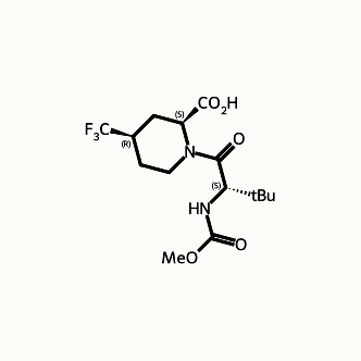 COC(=O)N[C@H](C(=O)N1CC[C@@H](C(F)(F)F)C[C@H]1C(=O)O)C(C)(C)C